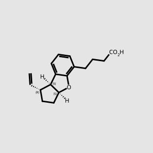 C=C[C@H]1CC[C@@H]2Oc3c(CCCC(=O)O)cccc3[C@@H]21